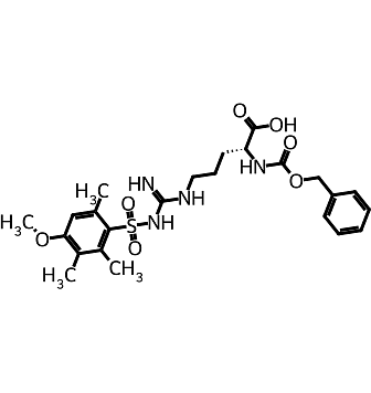 COc1cc(C)c(S(=O)(=O)NC(=N)NCCC[C@@H](NC(=O)OCc2ccccc2)C(=O)O)c(C)c1C